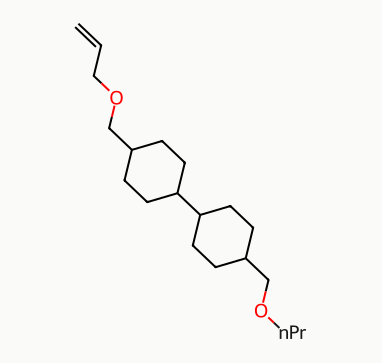 C=CCOCC1CCC(C2CCC(COCCC)CC2)CC1